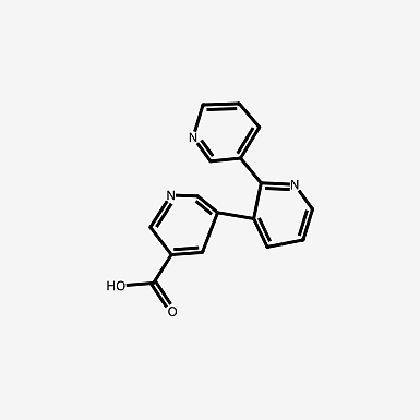 O=C(O)c1cncc(-c2cccnc2-c2cccnc2)c1